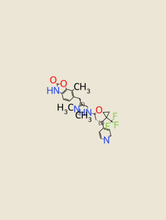 Cc1c(C[C@@H](CNC(=O)C[C@@H](c2ccncc2)C2(C(F)(F)F)CC2)N(C)C)ccc2[nH]c(=O)oc12